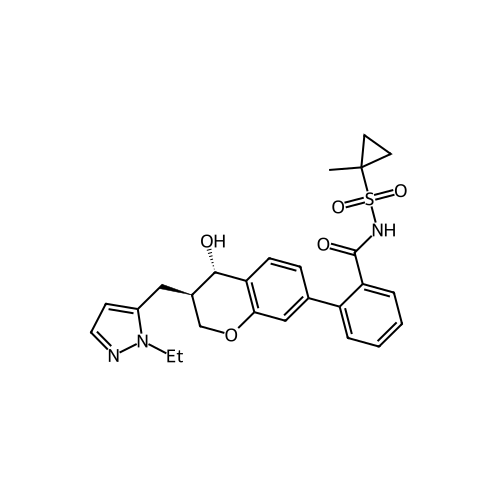 CCn1nccc1C[C@@H]1COc2cc(-c3ccccc3C(=O)NS(=O)(=O)C3(C)CC3)ccc2[C@H]1O